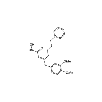 COc1ccc(S/C(=C/C(=O)NO)CCCCc2ccccc2)cc1OC